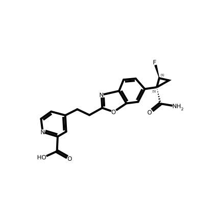 NC(=O)[C@@]1(c2ccc3nc(CCc4ccnc(C(=O)O)c4)oc3c2)C[C@@H]1F